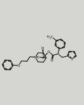 Cc1cccc(N(Cc2cccs2)C(=O)O[C@H]2C[N+]3(CCCOc4ccccc4)CCC2CC3)c1